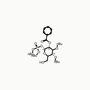 CCCCOC1[C@H](OCCCC)C(CO)O[C@H](OP(=O)(OCCCC)OCCCC)[C@@H]1OC(=O)c1ccccc1